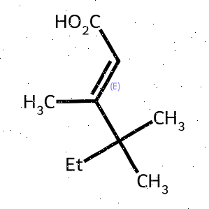 CCC(C)(C)/C(C)=C/C(=O)O